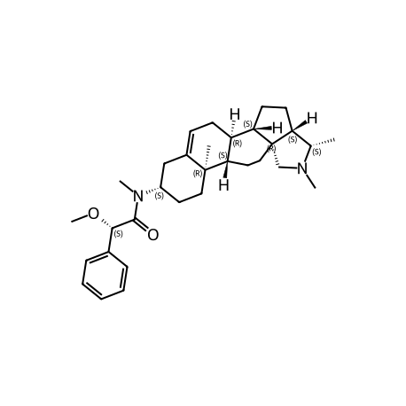 CO[C@H](C(=O)N(C)[C@H]1CC[C@@]2(C)C(=CC[C@H]3[C@@H]4CC[C@@H]5[C@H](C)N(C)C[C@@]54CC[C@@H]32)C1)c1ccccc1